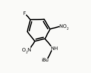 CCC(C)Nc1c([N+](=O)[O-])cc(F)cc1[N+](=O)[O-]